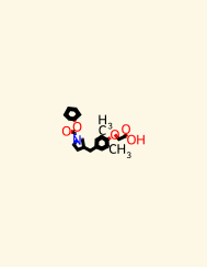 Cc1cc(CC2CCN(C(=O)Oc3ccccc3)C2)cc(C)c1OCC(=O)O